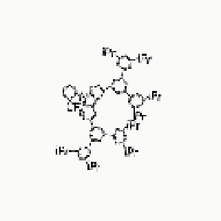 CC(C)c1cc(-c2cc(-c3cc(C(C)C)cc(C(C)C)c3)cc(-c3ccc4c(c3)c3cc(-c5cc(-c6cc(C(C)C)cc(C(C)C)c6)cc(-c6cc(C(C)C)cc(C(C)C)c6)c5)ccc3n4-c3ccccc3C(F)(F)F)c2)cc(C(C)C)c1